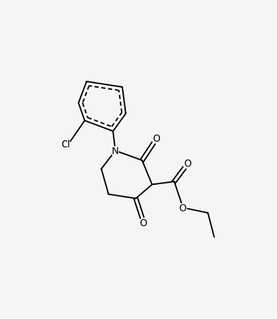 CCOC(=O)C1C(=O)CCN(c2ccccc2Cl)C1=O